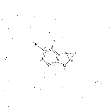 Cc1c(F)ccc2c1C1CC1O2